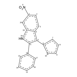 O=[N+]([O-])c1ccc2c(-c3cccs3)c(-c3ccccc3)[nH]c2c1